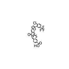 O=C(O)C1=CCC(=CN2C(=O)C(=Cc3ccc(-c4cc(C(F)(F)F)ccc4Cl)o3)SC2=S)C=C1